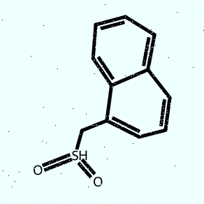 O=[SH](=O)Cc1cccc2ccccc12